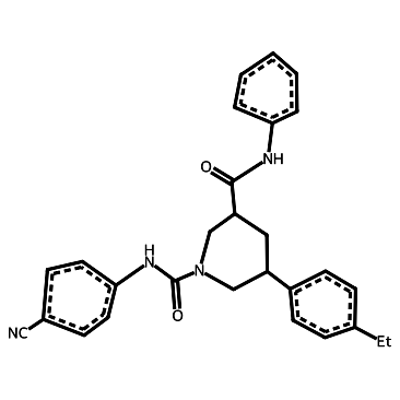 CCc1ccc(C2CC(C(=O)Nc3ccccc3)CN(C(=O)Nc3ccc(C#N)cc3)C2)cc1